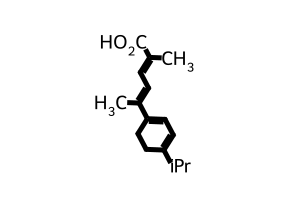 C/C(=C\C=C(/C)C1=CC=C(C(C)C)CC1)C(=O)O